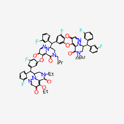 CCCCN1CC(C(c2cccc(F)c2)c2cccc(F)c2)n2ncc(=O)c(Oc3cc(F)cc(C(c4cccc(F)c4)C4CN(CC(C)C)C(=O)c5c(Oc6cc(F)cc(C(c7cccc(F)c7)C7CN(CC)C(=O)c8c(OCC)c(=O)cnn87)c6)c(=O)cnn54)c3)c2C1=O